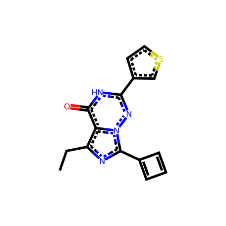 CCc1nc(C2=CC=C2)n2nc(-c3ccsc3)[nH]c(=O)c12